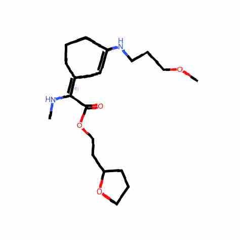 CN/C(C(=O)OCCC1CCCO1)=C1/C=C(NCCCOC)CCC1